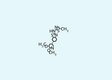 COc1cc(-c2ccc3nc(Nc4ncc(C)s4)sc3c2)cnc1OC